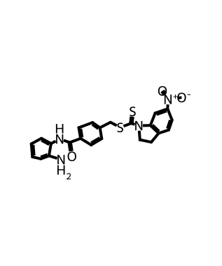 Nc1ccccc1NC(=O)c1ccc(CSC(=S)N2CCc3ccc([N+](=O)[O-])cc32)cc1